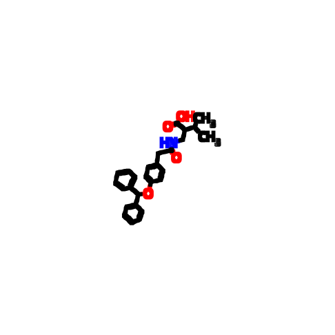 CC(C)C(CNC(=O)Cc1ccc(OC(c2ccccc2)c2ccccc2)cc1)C(=O)O